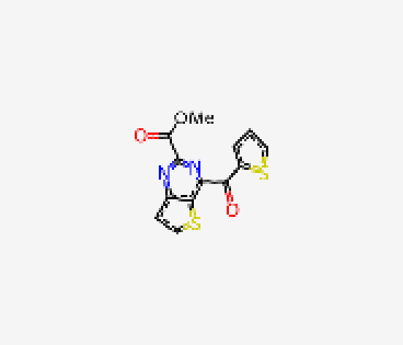 COC(=O)c1nc(C(=O)c2cccs2)c2sccc2n1